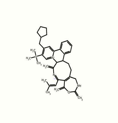 C=C1NCC2=C(C(=C)O1)/C(C=C(C)C)=N\C(=C)C1C(CC2)c2ccccc2-c2cc(CC3CCCC3)c([Si](C)(C)C)c[n+]21